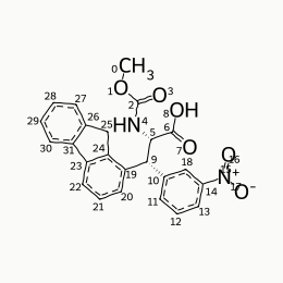 COC(=O)N[C@H](C(=O)O)[C@H](c1cccc([N+](=O)[O-])c1)c1cccc2c1Cc1ccccc1-2